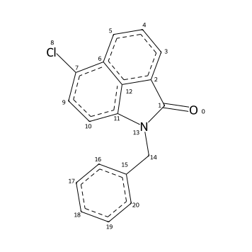 O=C1c2cccc3c(Cl)ccc(c23)N1Cc1ccccc1